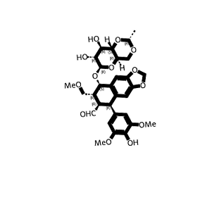 COC[C@H]1[C@H](C=O)[C@H](c2cc(OC)c(O)c(OC)c2)c2cc3c(cc2[C@H]1O[C@@H]1O[C@@H]2CO[C@@H](C)O[C@H]2[C@H](O)[C@H]1O)OCO3